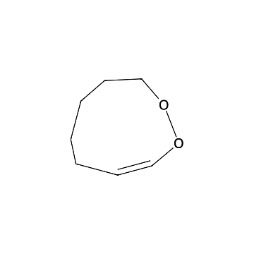 C1=COOCCCCC1